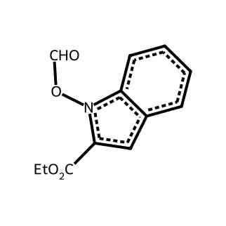 CCOC(=O)c1cc2ccccc2n1OC=O